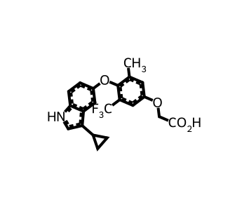 Cc1cc(OCC(=O)O)cc(C(F)(F)F)c1Oc1ccc2[nH]cc(C3CC3)c2c1